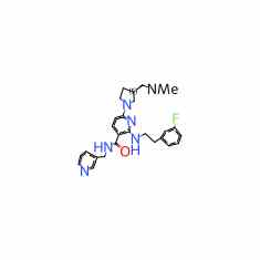 CNC[C@@H]1CCN(c2ccc(C(=O)NCc3cccnc3)c(NCCc3cccc(F)c3)n2)C1